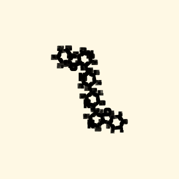 c1ccc2c(c1)oc1c(-c3ccc(-c4ccc(-c5cncc6c5oc5ccccc56)nc4)cn3)cncc12